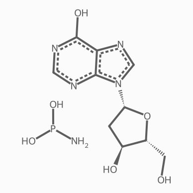 NP(O)O.OC[C@H]1O[C@@H](n2cnc3c(O)ncnc32)C[C@@H]1O